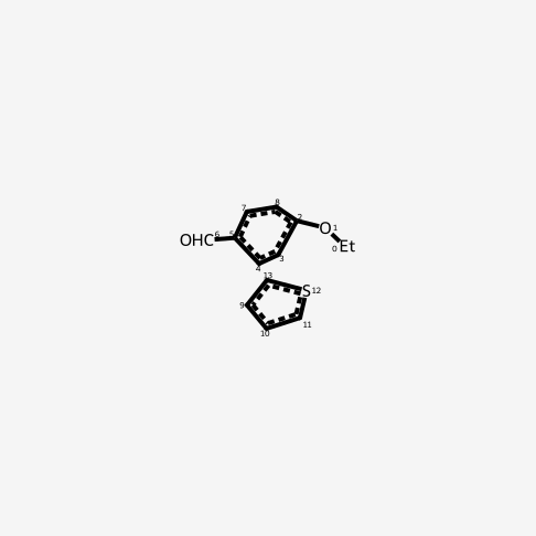 CCOc1ccc(C=O)cc1.c1ccsc1